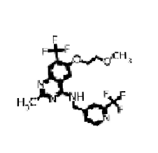 COCCOc1cc2c(NCc3ccnc(C(F)(F)F)c3)nc(C)nc2cc1C(F)(F)F